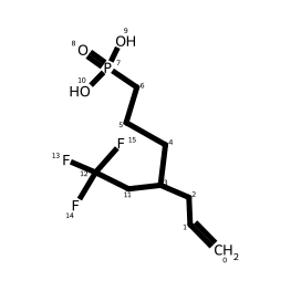 C=CCC(CCCP(=O)(O)O)CC(F)(F)F